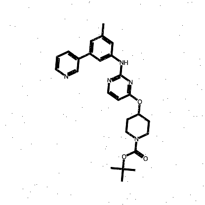 Cc1cc(Nc2nccc(OC3CCN(C(=O)OC(C)(C)C)CC3)n2)cc(-c2cccnc2)c1